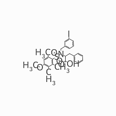 COc1cc(C)c(S(=O)(=O)N(Cc2cccc(I)c2)C(Cc2ccccc2)C(=O)O)c(C)c1C